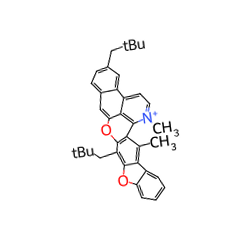 Cc1c2c(c(CC(C)(C)C)c3oc4ccccc4c13)Oc1cc3ccc(CC(C)(C)C)cc3c3cc[n+](C)c-2c13